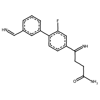 N=Cc1cccc(-c2ccc(C(=N)CCC(N)=O)cc2F)c1